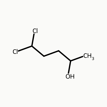 CC(O)CCC(Cl)Cl